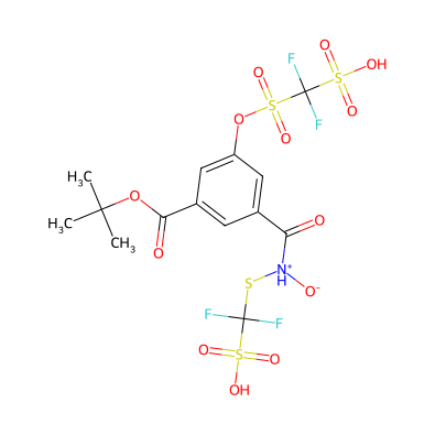 CC(C)(C)OC(=O)c1cc(OS(=O)(=O)C(F)(F)S(=O)(=O)O)cc(C(=O)[NH+]([O-])SC(F)(F)S(=O)(=O)O)c1